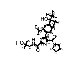 CC(C)(O)CNC(=O)c1nc(C(=O)N2CCCC2)c(-c2ccc(C(O)(C(F)(F)F)C(F)(F)F)cc2C(F)F)s1